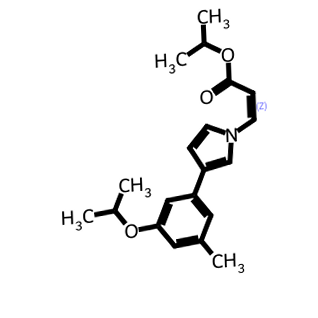 Cc1cc(OC(C)C)cc(-c2ccn(/C=C\C(=O)OC(C)C)c2)c1